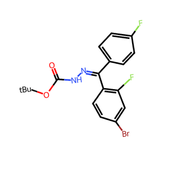 CC(C)(C)OC(=O)N/N=C(/c1ccc(F)cc1)c1ccc(Br)cc1F